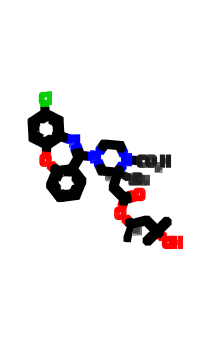 C[C@H](CC(C)(C)O)OC(=O)C[C@]1(C(C)(C)C)CN(C2=Nc3cc(Cl)ccc3Oc3ccccc32)CCN1C(=O)O